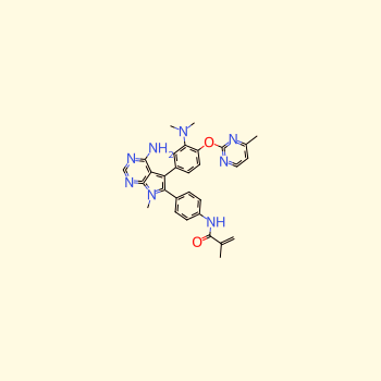 C=C(C)C(=O)Nc1ccc(-c2c(-c3ccc(Oc4nccc(C)n4)c(N(C)C)c3)c3c(N)ncnc3n2C)cc1